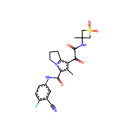 Cc1c(C(=O)C(=O)NC2(C)CS(=O)(=O)C2)c2n(c1C(=O)Nc1ccc(F)c(C#N)c1)CCC2